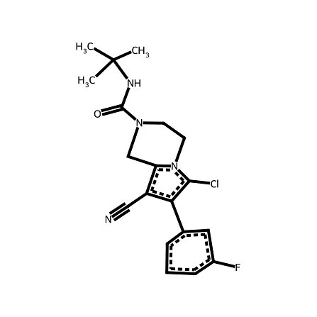 CC(C)(C)NC(=O)N1CCn2c(Cl)c(-c3cccc(F)c3)c(C#N)c2C1